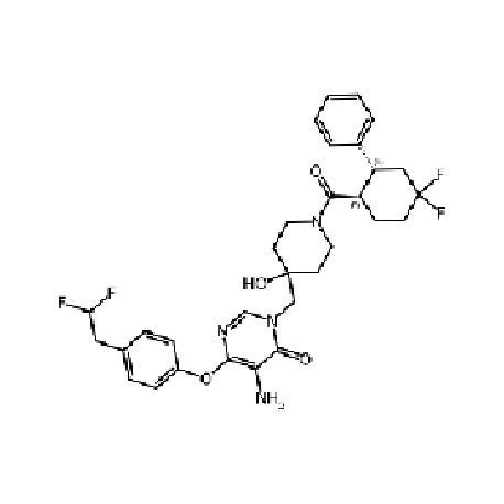 Nc1c(Oc2ccc(CC(F)F)cc2)ncn(CC2(O)CCN(C(=O)[C@@H]3CCC(F)(F)C[C@H]3c3ccccc3)CC2)c1=O